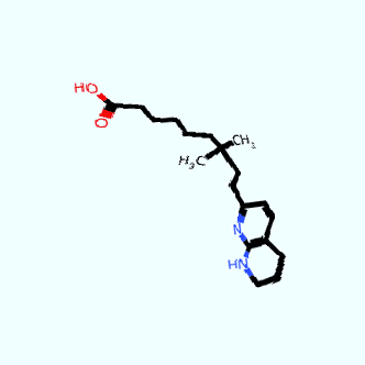 CC(C)(CCCCCC(=O)O)CCc1ccc2c(n1)NCCC2